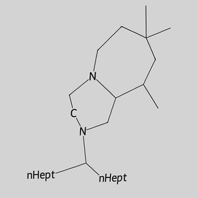 CCCCCCCC(CCCCCCC)N1CCN2CCC(C)(C)CC(C)C2C1